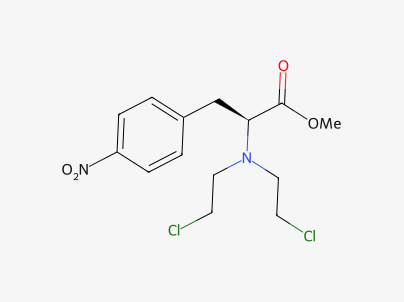 COC(=O)[C@H](Cc1ccc([N+](=O)[O-])cc1)N(CCCl)CCCl